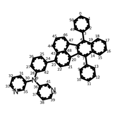 c1ccc(-c2c3c(c(-c4ccccc4)c4ccccc24)-c2ccc(-c4cccc(N(c5cccnc5)c5cccnc5)c4)c4cccc-3c24)cc1